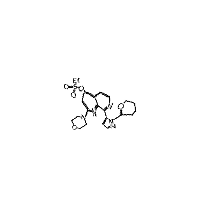 CCS(=O)(=O)Oc1cc(N2CCOCC2)nc2c(-c3ccnn3C3CCCCO3)nccc12